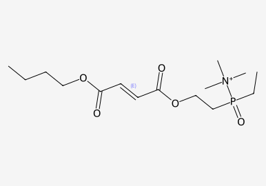 CCCCOC(=O)/C=C/C(=O)OCCP(=O)(CC)[N+](C)(C)C